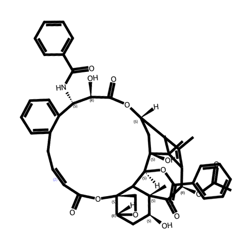 CC(=O)O[C@H]1C(=O)[C@@]2(C)C3[C@H](OC(=O)c4ccccc4)[C@]4(O)C[C@H](OC(=O)[C@H](O)[C@@H](NC(=O)c5ccccc5)c5ccccc5C/C=C\C(=O)O[C@]35CO[C@@H]5C[C@@H]2O)C(C)=C1C4(C)C